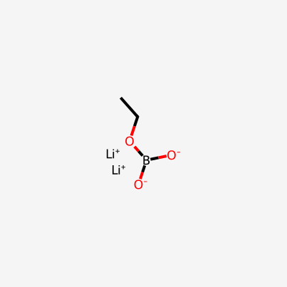 CCOB([O-])[O-].[Li+].[Li+]